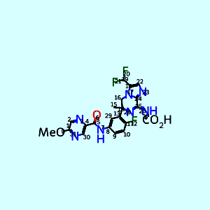 COc1cnc(C(=O)Nc2ccc(F)c(C3(C)Cn4c(C(F)F)cnc4C(NC(=O)O)=N3)c2)cn1